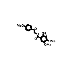 COc1ccc(C(=O)COC(=O)c2cc(OC)c(OC)cc2N)cc1